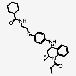 CCC(=O)N1c2ccccc2[C@H](Nc2ccc(SCCNC(=O)C3CCCCC3)cc2)C[C@@H]1C